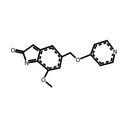 COc1cc(COc2ccncc2)cc2c1=NC(=O)C=2